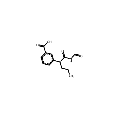 CCCN(C(=O)NC=O)c1cccc(C(=O)O)c1